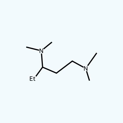 [CH2]CC(CCN(C)C)N(C)C